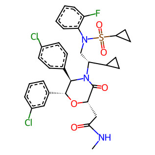 CNC(=O)C[C@@H]1O[C@H](c2cccc(Cl)c2)[C@@H](c2ccc(Cl)cc2)N([C@H](CN(c2ccccc2F)S(=O)(=O)C2CC2)C2CC2)C1=O